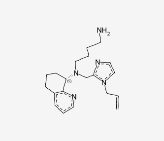 C=CCn1ccnc1CN(CCCCN)[C@H]1CCCc2cccnc21